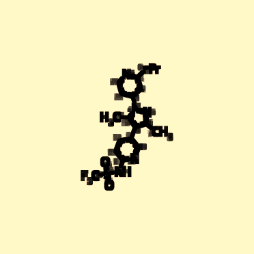 CCCc1cc(-n2nc(C)c(-c3ccc(NS(=O)(=O)C(F)(F)F)nc3)c2C)ccn1